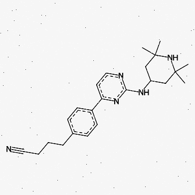 CC1(C)CC(Nc2nccc(-c3ccc(CCCC#N)cc3)n2)CC(C)(C)N1